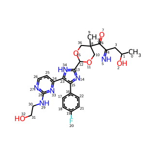 CC(O)CC(=N)C(=O)C1(C)COC(c2nc(-c3ccc(F)cc3)c(-c3ccnc(NCCO)n3)[nH]2)OC1